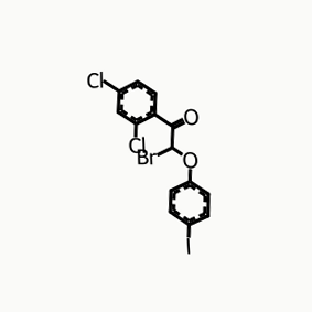 O=C(c1ccc(Cl)cc1Cl)C(Br)Oc1ccc(I)cc1